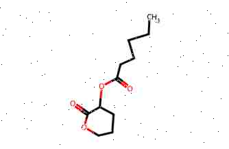 CCCCCC(=O)OC1CCCOC1=O